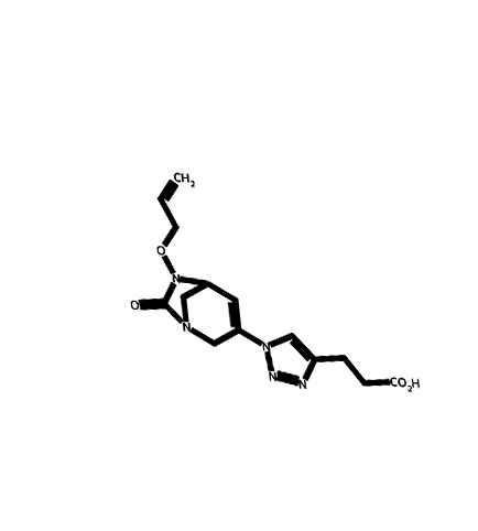 C=CCON1C(=O)N2CC(n3cc(CCC(=O)O)nn3)=CC1C2